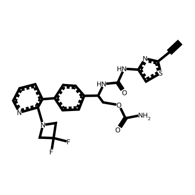 C#Cc1nc(NC(=O)NC(COC(N)=O)c2ccc(-c3cccnc3N3CC(F)(F)C3)cc2)cs1